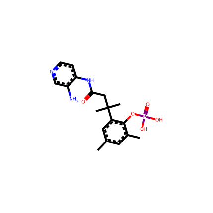 Cc1cc(C)c(OP(=O)(O)O)c(C(C)(C)CC(=O)Nc2ccncc2N)c1